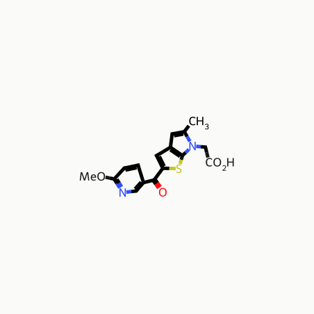 COc1ccc(C(=O)c2cc3cc(C)n(CC(=O)O)c3s2)cn1